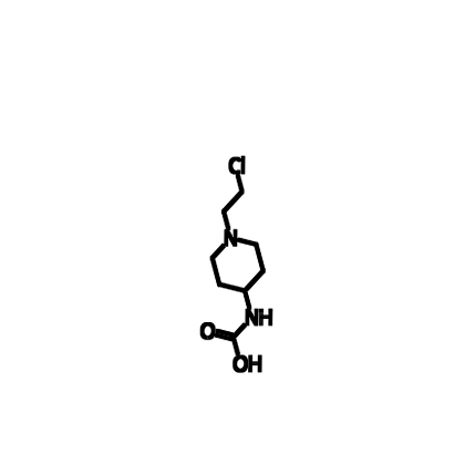 O=C(O)NC1CCN(CCCl)CC1